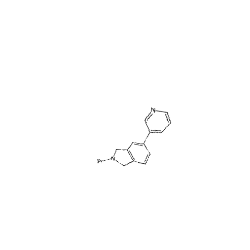 CC(C)N1Cc2ccc(-c3cccnc3)cc2C1